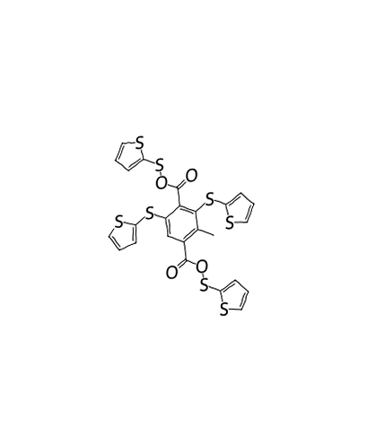 Cc1c(C(=O)OSc2cccs2)cc(Sc2cccs2)c(C(=O)OSc2cccs2)c1Sc1cccs1